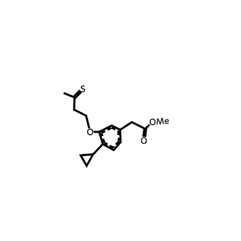 COC(=O)Cc1ccc(C2CC2)c(OCCC(C)=S)c1